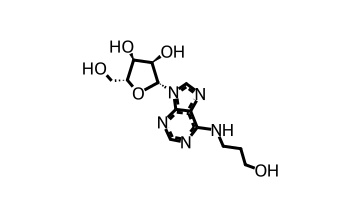 OCCCNc1ncnc2c1ncn2[C@@H]1O[C@H](CO)[C@@H](O)[C@H]1O